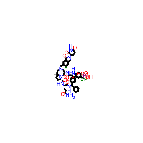 NC(=O)CC[C@H](NC(=O)[C@@H]1CC[C@@H]2CCN(Cc3cc4c(cc3F)CN(C3CCC(=O)NC3=O)C4=O)C[C@H](NC(=O)c3cc4cc(C(F)(F)P(=O)(O)O)ccc4[nH]3)C(=O)N21)C(=O)NC(c1ccccc1)c1ccccc1